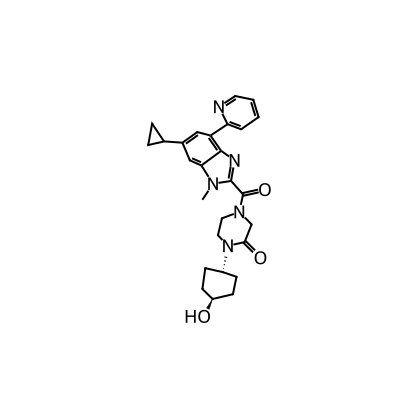 Cn1c(C(=O)N2CCN([C@H]3CC[C@H](O)CC3)C(=O)C2)nc2c(-c3ccccn3)cc(C3CC3)cc21